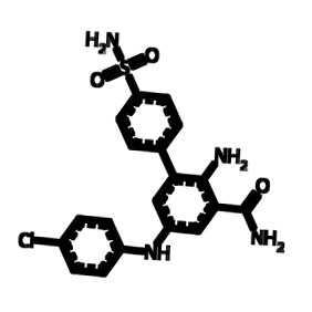 NC(=O)c1cc(Nc2ccc(Cl)cc2)cc(-c2ccc(S(N)(=O)=O)cc2)c1N